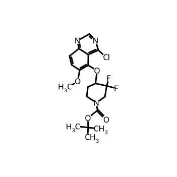 COc1ccc2ncnc(Cl)c2c1OC1CCN(C(=O)OC(C)(C)C)CC1(F)F